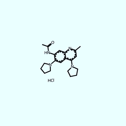 CC(=O)Nc1cc2nc(C)cc(N3CCCC3)c2cc1N1CCCC1.Cl